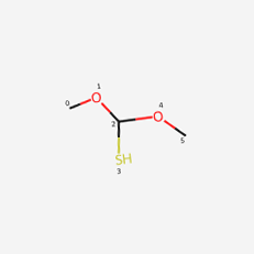 COC(S)OC